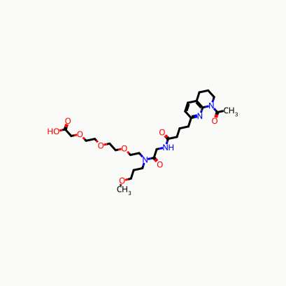 COCCCN(CCOCCOCCOCC(=O)O)C(=O)CNC(=O)CCCc1ccc2c(n1)N(C(C)=O)CCC2